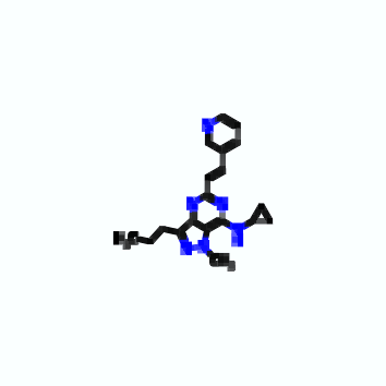 CCCc1nn(C)c2c(NC3CC3)nc(/C=C/c3cccnc3)nc12